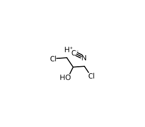 OC(CCl)CCl.[C-]#N.[H+]